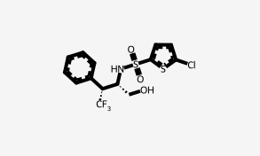 O=S(=O)(N[C@H](CO)[C@@H](c1ccccc1)C(F)(F)F)c1ccc(Cl)s1